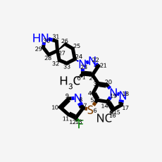 Cc1c(-c2cc(Sc3ncccc3F)c3c(C#N)cnn3c2)cnn1[C@H]1CC[C@]2(CCNC2)CC1